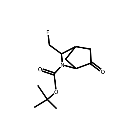 CC(C)(C)OC(=O)N1C2CC(CC2=O)C1CF